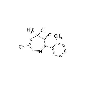 Cc1ccccc1N1N=CC(Cl)=CC(C)(Cl)C1=O